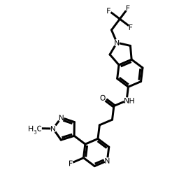 Cn1cc(-c2c(F)cncc2CCC(=O)Nc2ccc3c(c2)CN(CC(F)(F)F)C3)cn1